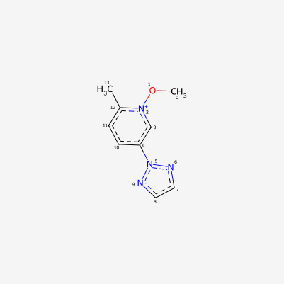 CO[n+]1cc(-n2nccn2)ccc1C